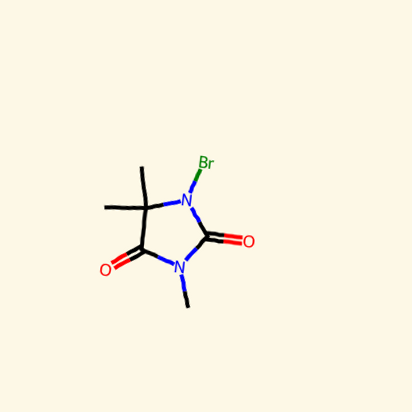 CN1C(=O)N(Br)C(C)(C)C1=O